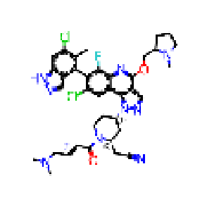 Cc1c(Cl)cc2[nH]ncc2c1-c1c(Cl)cc2c(nc(OCC3CCCN3C)c3cnn([C@H]4CCN(C(=O)/C=C/CN(C)C)[C@H](CC#N)C4)c32)c1F